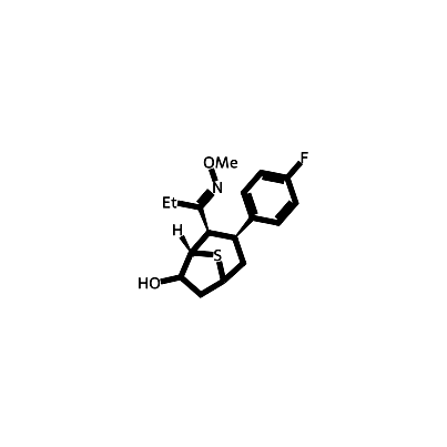 CCC(=NOC)[C@H]1[C@@H](c2ccc(F)cc2)CC2CC(O)[C@H]1S2